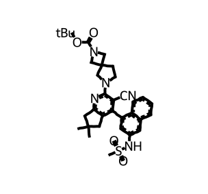 CC1(C)Cc2nc(N3CCC4(CN(C(=O)OC(C)(C)C)C4)C3)c(C#N)c(-c3cc(NS(C)(=O)=O)cc4ccccc34)c2C1